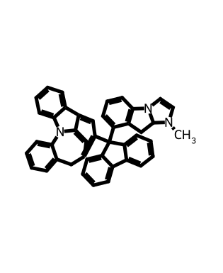 CN1C=CN2c3cccc(C4(c5cc6c7ccccc7n7c6cc5Cc5ccccc5-7)c5ccccc5-c5ccccc54)c3CC12